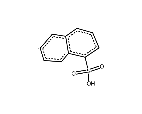 O=S(=O)(O)c1cccc2c[c]c[c]c12